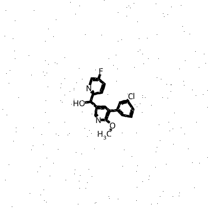 COc1ncc(C(O)c2ccc(F)cn2)cc1-c1cccc(Cl)c1